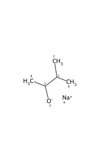 CC(C)C(C)[O-].[Na+]